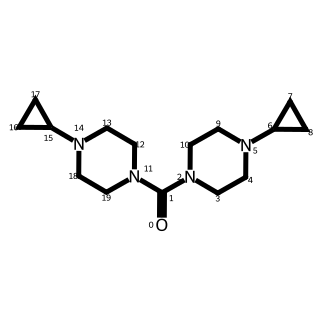 O=C(N1CCN(C2CC2)CC1)N1CCN(C2CC2)CC1